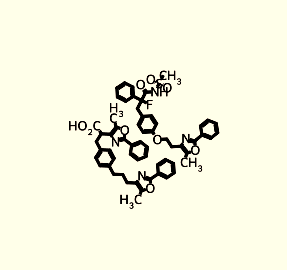 Cc1oc(-c2ccccc2)nc1CCCc1ccc(CC(C(=O)O)c2nc(-c3ccccc3)oc2C)cc1.Cc1oc(-c2ccccc2)nc1CCOc1ccc(CC(F)(C(=O)NS(C)(=O)=O)c2ccccc2)cc1